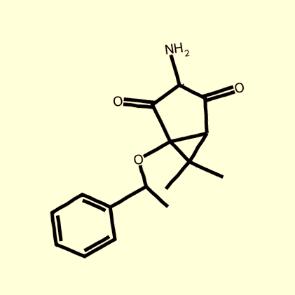 CC(OC12C(=O)[C](N)C(=O)C1C2(C)C)c1ccccc1